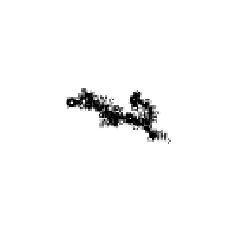 CC[C@H](C)[C@@H]([C@@H](CC(=O)N1CCC[C@H]1[C@H](OC)[C@@H](C)C(=O)N[C@H](C)[C@@H](O)c1ccccc1)OC)N(C)C(=O)[C@@H](NC(=O)[C@H](C(C)C)N(C)C(=O)OCc1ccc(NC(=O)[C@H](CCCNC(N)=O)NC(=O)[C@H](C)NC(=O)[C@@H](C)NC(=O)CCN2C(=O)C=CC2=O)cc1)C(C)C